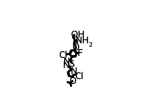 CC(C)Oc1ccc(-c2nnc(-c3cc(F)c(OC[C@H](N)CO)cc3Cl)s2)nc1Cl